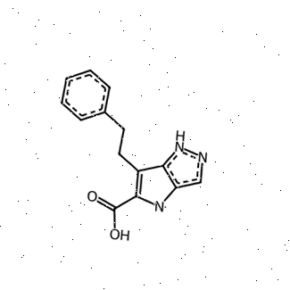 O=C(O)C1=C(CCc2ccccc2)c2[nH]ncc2[N]1